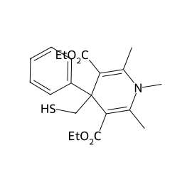 CCOC(=O)C1=C(C)N(C)C(C)=C(C(=O)OCC)C1(CS)c1ccccc1